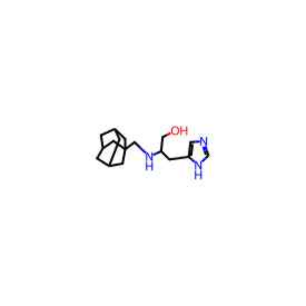 OCC(Cc1cnc[nH]1)NCC12CC3CC(CC(C3)C1)C2